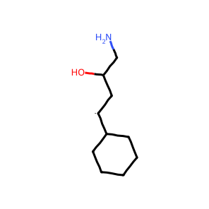 NCC(O)C[CH]C1CCCCC1